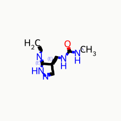 C=C/N=C1/NN=C/C1=C\NC(=O)NC